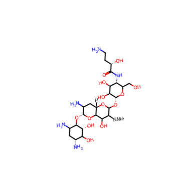 CNC1C(O[C@H]2OC(CO)[C@@H](NC(=O)[C@@H](O)CCN)[C@H](O)C2O)O[C@H]2CC(N)[C@@H](O[C@@H]3C(N)C[C@@H](N)C(O)[C@H]3O)OC2C1O